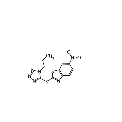 CCCn1nnnc1Sc1nc2ccc([N+](=O)[O-])cc2s1